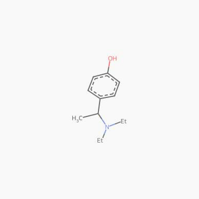 CCN(CC)C(C)c1ccc(O)cc1